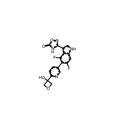 O=c1[nH]c(-c2c[nH]c3cc(F)c(-c4ccc(C5(O)COC5)nc4)c(F)c23)no1